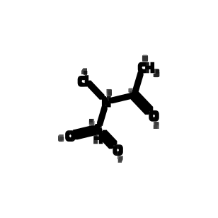 CC(=O)N(Cl)[SH](=O)=O